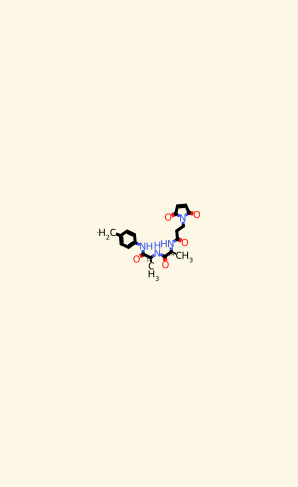 [CH2]c1ccc(NC(=O)[C@H](C)NC(=O)[C@H](C)NC(=O)CCN2C(=O)C=CC2=O)cc1